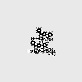 C#CC(=O)N(CC(=O)N1CCN(C(=O)OC(C)(C)C)C(c2ccccc2)C1)CC(c1ccccc1)c1ccccc1.C#CC(=O)N(CC(=O)N1CCNC(c2ccccc2)C1)CC(c1ccccc1)c1ccccc1